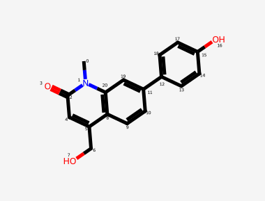 Cn1c(=O)cc(CO)c2ccc(-c3ccc(O)cc3)cc21